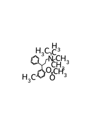 CC(=O)Oc1ccc(C)cc1C(CCN(C(C)C)C(C)C)c1ccccc1